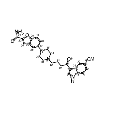 N#Cc1ccc2[nH]cc(C(=O)CCCN3CCN(c4ccc5oc(C(N)=O)cc5c4)CC3)c2c1